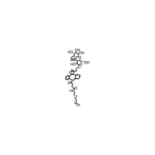 CCOCCOCCNC(=O)CCC(=O)N1Cc2ccccc2-c2c(nnn2CCO[C@@H]2O[C@@H](CO)[C@@H](O[C@@H]3OC(CO)[C@H](O)C(O)C3O)C(O)C2O)-c2ccccc21